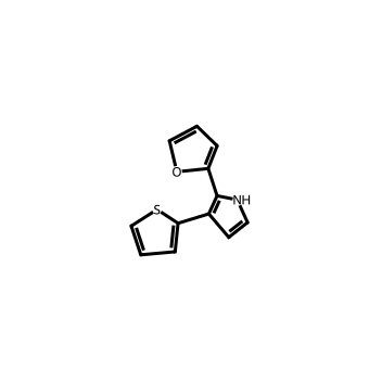 c1coc(-c2[nH]ccc2-c2cccs2)c1